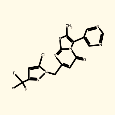 Cc1sc2nc(Cn3nc(C(F)(F)F)cc3Cl)cc(=O)n2c1-c1cncnc1